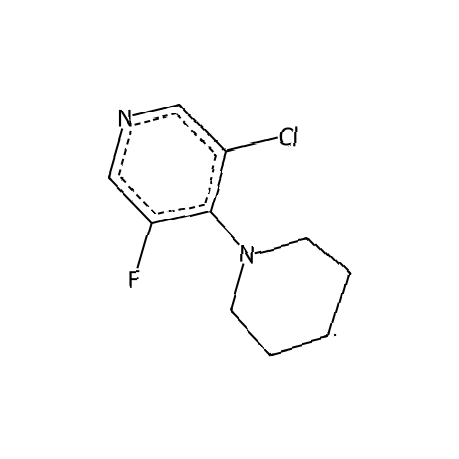 Fc1cncc(Cl)c1N1CC[CH]CC1